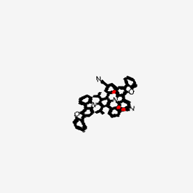 CC(C)c1c(-c2cccc(C#N)c2)c(-n2c3ccccc3c3c4oc5ccccc5c4ccc32)c(-c2cccc(C#N)c2)c(C(C)C)c1-n1c2ccccc2c2c3oc4ccccc4c3ccc21